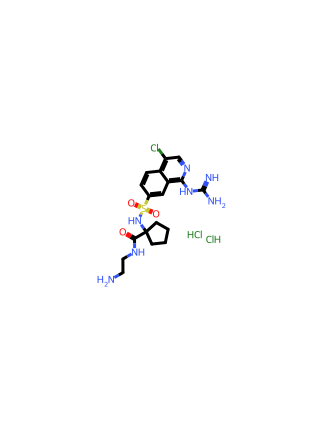 Cl.Cl.N=C(N)Nc1ncc(Cl)c2ccc(S(=O)(=O)NC3(C(=O)NCCN)CCCC3)cc12